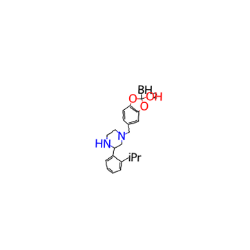 BC1(O)Oc2ccc(CN3CCNC(c4ccccc4C(C)C)C3)cc2O1